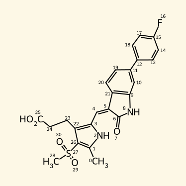 Cc1[nH]c(/C=C2\C(=O)Nc3cc(-c4ccc(F)cc4)ccc32)c(CCC(=O)O)c1S(C)(=O)=O